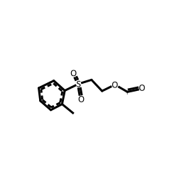 Cc1ccccc1S(=O)(=O)CCO[C]=O